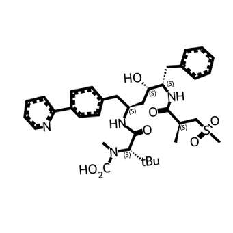 C[C@H](CS(C)(=O)=O)C(=O)N[C@@H](Cc1ccccc1)[C@@H](O)C[C@H](Cc1ccc(-c2ccccn2)cc1)NC(=O)[C@@H](N(C)C(=O)O)C(C)(C)C